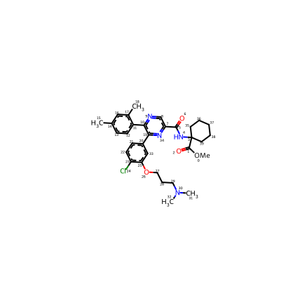 COC(=O)C1(NC(=O)c2cnc(-c3ccc(C)cc3C)c(-c3ccc(Cl)c(OCCCN(C)C)c3)n2)CCCCC1